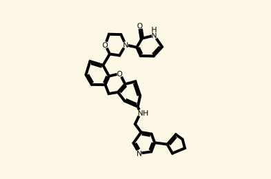 O=c1[nH]cccc1N1CCOC(c2cccc3c2Oc2ccc(NCc4cncc(C5=CCCC5)c4)cc2C3)C1